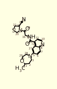 CC1CCN(c2ccc3nccc(C(=O)NCC(=O)N4CSCC4C#N)c3c2)CCO1